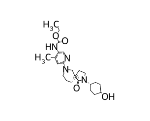 CCOC(=O)Nc1cnc(N2CCC[C@@]3(CCN([C@H]4CC[C@H](O)CC4)C3=O)C2)cc1C